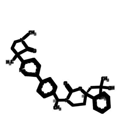 C[C@@H](c1ccc(-c2ccc(C3(C)CCN(C)C3=O)nc2)cc1)N1CC[C@](CC(C)(C)O)(c2ccccc2)OC1=O